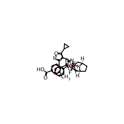 Cc1cc(C(=O)O)ccc1-c1nnc(N2[C@@H]3CC[C@H]2C[C@@H](OCc2c(-c4ccccc4OC(F)(F)F)noc2C2CC2)C3)o1